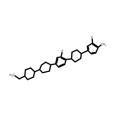 CCC1CCC(C2CCC(c3ccc(C4CCC(c5ccc(C)c(F)c5)CC4)c(F)c3)CC2)CC1